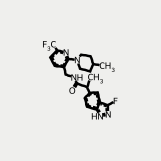 CC1CCN(c2nc(C(F)(F)F)ccc2CNC(=O)C(C)c2ccc3[nH]nc(F)c3c2)CC1